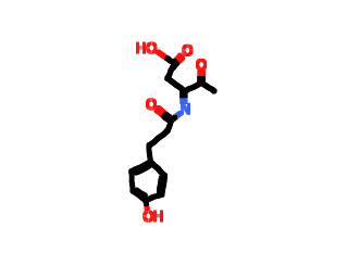 CC(=O)/C(CC(=O)O)=N/C(=O)CCc1ccc(O)cc1